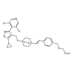 O=C(O)COCc1ccc(C=CC23CCC(OCc4c(-c5c(Cl)cncc5Cl)noc4C4CC4)(CC2)CC3)cc1